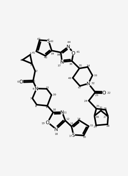 O=C(CC1CC1)N1CCC(c2nc(-c3cccs3)no2)CC1.O=C(CC1CC2CCC1C2)N1CCC(c2nc(-c3cccs3)no2)CC1